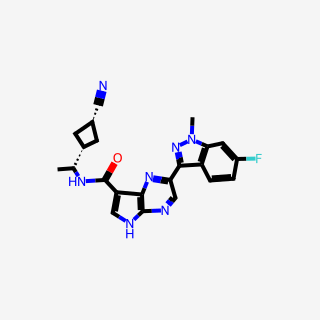 CC(NC(=O)c1c[nH]c2ncc(-c3nn(C)c4cc(F)ccc34)nc12)[C@H]1C[C@@H](C#N)C1